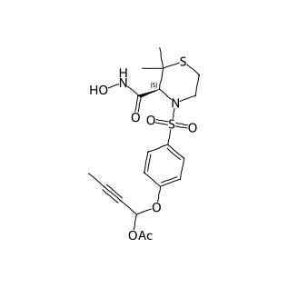 CC#CC(OC(C)=O)Oc1ccc(S(=O)(=O)N2CCSC(C)(C)[C@@H]2C(=O)NO)cc1